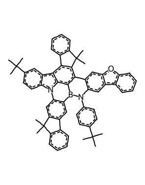 CC(C)(C)c1ccc(N2B3c4cc5c(cc4-n4c6ccc(C(C)(C)C)cc6c6c7c(c(c3c64)-c3cc4oc6ccccc6c4cc32)C(C)(C)c2ccccc2-7)C(C)(C)c2ccccc2-5)cc1